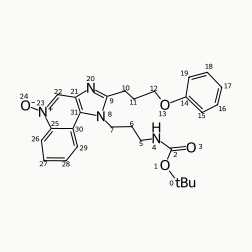 CC(C)(C)OC(=O)NCCCn1c(CCCOc2ccccc2)nc2c[n+]([O-])c3ccccc3c21